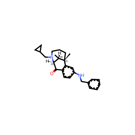 C[C@H]1[C@H]2C(=O)c3ccc(NCc4ccccc4)cc3[C@@]1(C)CCCN2CC1CC1